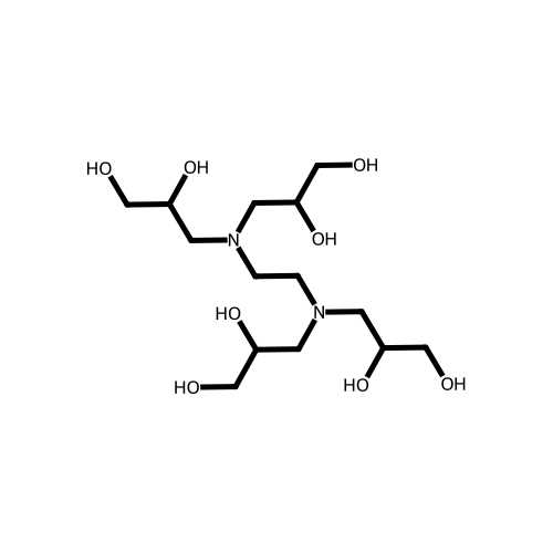 OCC(O)CN(CCN(CC(O)CO)CC(O)CO)CC(O)CO